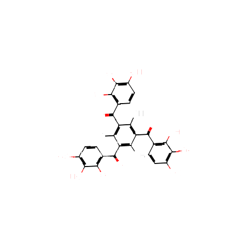 Cc1c(C(=O)c2ccc(O)c(O)c2O)c(C)c(C(=O)c2ccc(O)c(O)c2O)c(C)c1C(=O)c1ccc(O)c(O)c1O